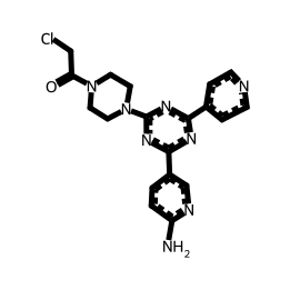 Nc1ccc(-c2nc(-c3ccncc3)nc(N3CCN(C(=O)CCl)CC3)n2)cn1